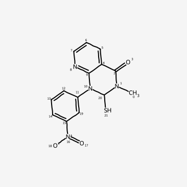 CN1C(=O)c2cccnc2N(c2cccc([N+](=O)[O-])c2)C1S